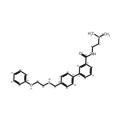 CN(C)CCNC(=O)c1cccc(-c2ccc(CSCCOc3ccccc3)cc2)c1